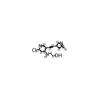 CN(CCO)c1cc(Cl)ncc1C#Cc1cnn(C)c1